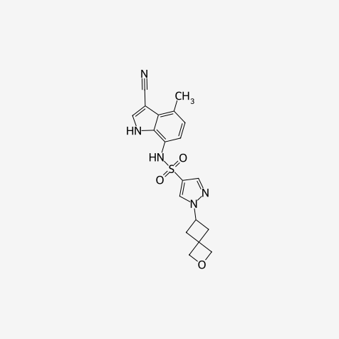 Cc1ccc(NS(=O)(=O)c2cnn(C3CC4(COC4)C3)c2)c2[nH]cc(C#N)c12